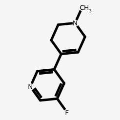 CN1CC=C(c2cncc(F)c2)CC1